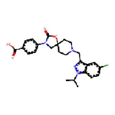 CC(C)n1nc(CN2CCC3(CC2)CN(c2ccc(C(=O)O)cc2)C(=O)O3)c2cc(F)ccc21